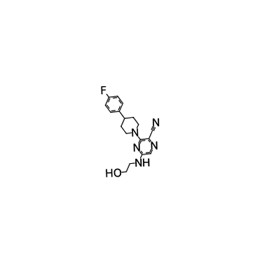 N#Cc1ncc(NCCO)nc1N1CCC(c2ccc(F)cc2)CC1